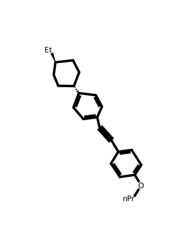 CCCOc1ccc(C#Cc2ccc([C@H]3CC[C@H](CC)CC3)cc2)cc1